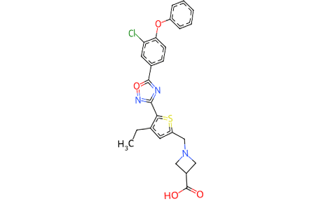 CCc1cc(CN2CC(C(=O)O)C2)sc1-c1noc(-c2ccc(Oc3ccccc3)c(Cl)c2)n1